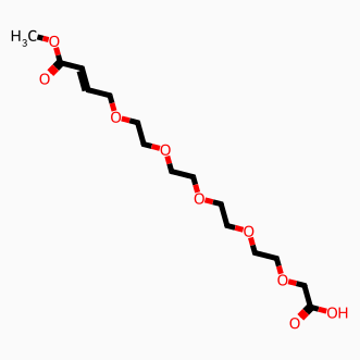 COC(=O)/C=C/COCCOCCOCCOCCOCC(=O)O